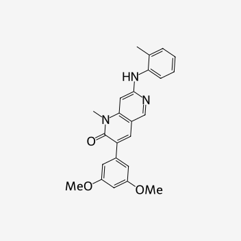 COc1cc(OC)cc(-c2cc3cnc(Nc4ccccc4C)cc3n(C)c2=O)c1